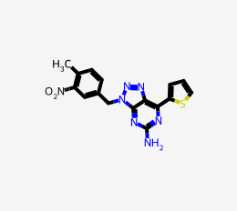 Cc1ccc(Cn2nnc3c(-c4cccs4)nc(N)nc32)cc1[N+](=O)[O-]